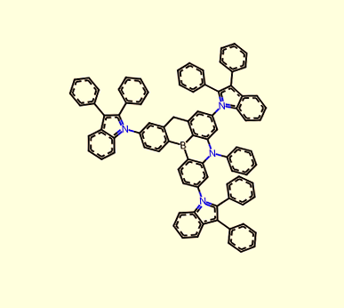 c1ccc(-c2c(-c3ccccc3)n(-c3ccc4c(c3)Cc3cc(-n5c(-c6ccccc6)c(-c6ccccc6)c6ccccc65)cc5c3B4c3ccc(-n4c(-c6ccccc6)c(-c6ccccc6)c6ccccc64)cc3N5c3ccccc3)c3ccccc23)cc1